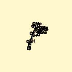 COC(=O)CN(CC(=O)OC)CC(CCC(=O)NCCCNC(=O)OCc1ccccc1)N(CC(=O)OC)CC(=O)OC